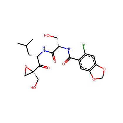 CC(C)C[C@H](NC(=O)[C@H](CO)NC(=O)c1cc2c(cc1Br)OCO2)C(=O)[C@@]1(CO)CO1